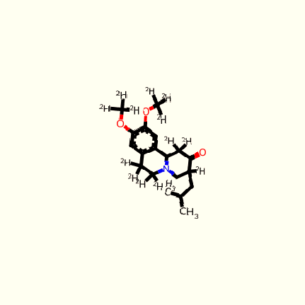 [2H]C([2H])([2H])Oc1cc2c(cc1OC([2H])([2H])[2H])C([2H])([2H])C([2H])([2H])N1CC([2H])(CC(C)C)C(=O)C([2H])([2H])C21